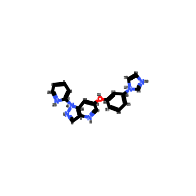 c1ccc(-n2ncc3ncc(Oc4cccc(-n5ccnc5)c4)cc32)nc1